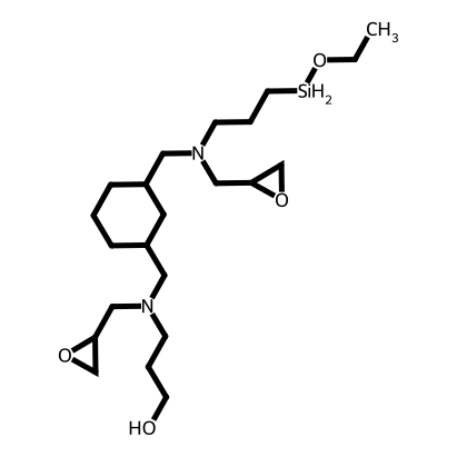 CCO[SiH2]CCCN(CC1CCCC(CN(CCCO)CC2CO2)C1)CC1CO1